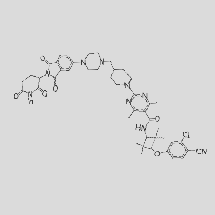 Cc1nc(N2CCC(CN3CCN(c4ccc5c(c4)C(=O)N(C4CCC(=O)NC4=O)C5=O)CC3)CC2)nc(C)c1C(=O)NC1C(C)(C)C(Oc2ccc(C#N)c(Cl)c2)C1(C)C